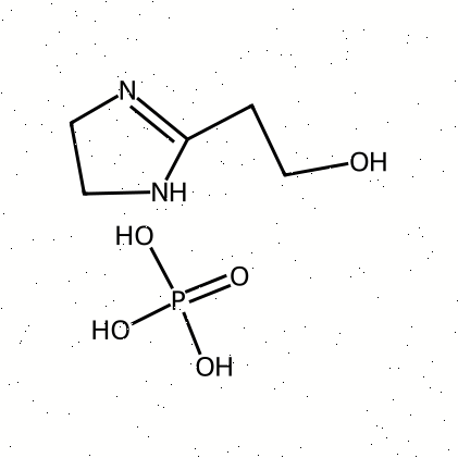 O=P(O)(O)O.OCCC1=NCCN1